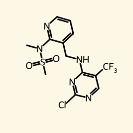 CN(c1ncccc1CNc1nc(Cl)ncc1C(F)(F)F)S(C)(=O)=O